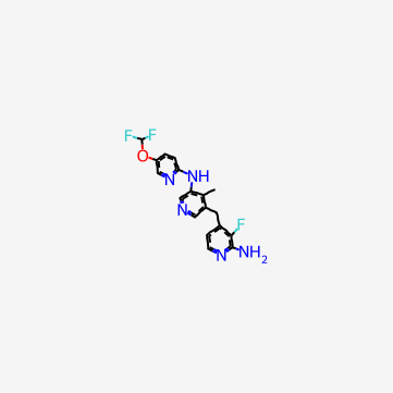 Cc1c(Cc2ccnc(N)c2F)cncc1Nc1ccc(OC(F)F)cn1